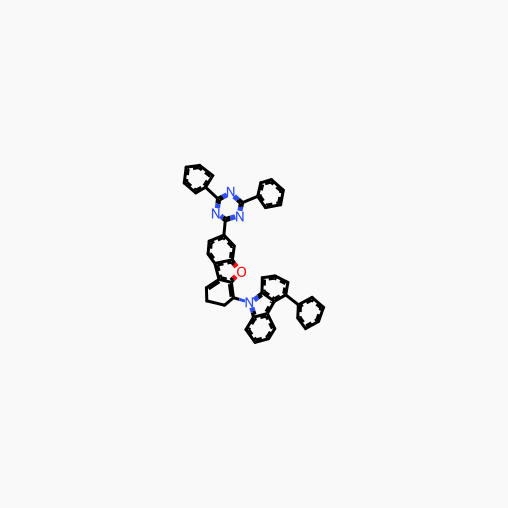 C1=c2c(oc3cc(-c4nc(-c5ccccc5)nc(-c5ccccc5)n4)ccc23)=C(n2c3ccccc3c3c(-c4ccccc4)cccc32)CC1